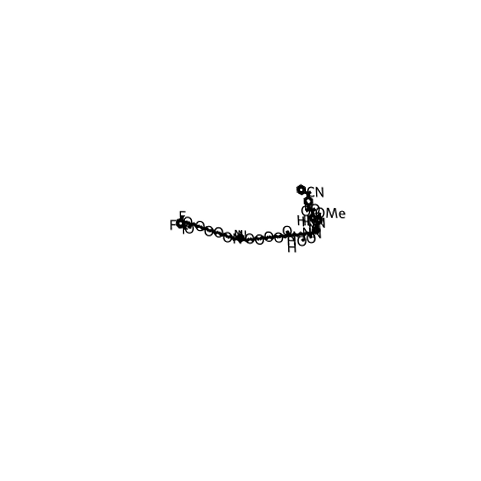 COc1cnc(-n2cnc(C(=O)N[C@H](CO)CCCNC(=O)CCOCCOCCOCCOCc3cn(CCOCCOCCOCCOCCC(=O)Oc4c(F)cc(F)cc4F)nn3)n2)c2[nH]cc(C(=O)C(=O)N3CCC(=C(C#N)c4ccccc4)CC3)c12